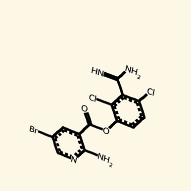 N=C(N)c1c(Cl)ccc(OC(=O)c2cc(Br)cnc2N)c1Cl